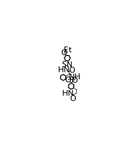 CCOc1ccc2nc(NC(=O)C(NS(=O)(=O)c3ccc4c(c3)CCC(=O)N4)c3ccccc3)sc2c1